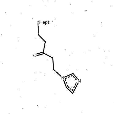 CCCCCCCCCC(=O)CCn1ccnc1